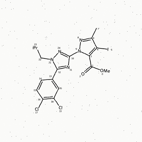 COC(=O)c1c(I)c(C)nn1-c1nc(-c2ccc(Cl)c(Cl)c2)n(CC(C)C)n1